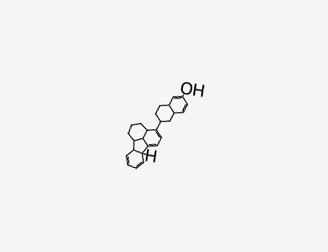 OC1=CC2CCC(C3=CC=C4C5C3CCCC5C3C=CC=C[C@@H]43)CC2C=C1